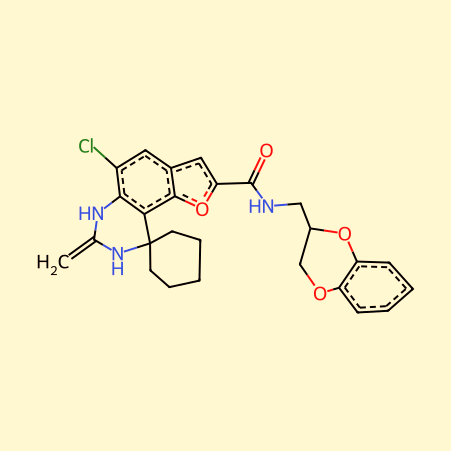 C=C1Nc2c(Cl)cc3cc(C(=O)NCC4COc5ccccc5O4)oc3c2C2(CCCCC2)N1